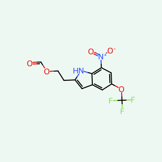 O=COCCc1cc2cc(OC(F)(F)F)cc([N+](=O)[O-])c2[nH]1